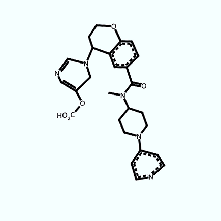 CN(C(=O)c1ccc2c(c1)C(N1C=NC=C(OC(=O)O)C1)CCO2)C1CCN(c2ccncc2)CC1